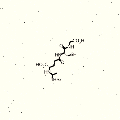 CCCCCCC(C)N[C@@H](CCC(=O)N[C@@H](CS)C(=O)NCC(=O)O)C(=O)O